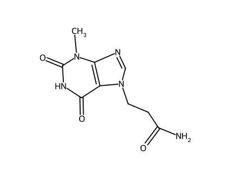 Cn1c(=O)[nH]c(=O)c2c1ncn2CCC(N)=O